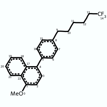 COc1ccc(-c2ccc(CCCCCC(F)(F)F)cc2)c2ccccc12